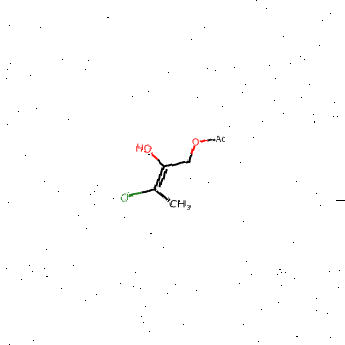 CC(=O)OC/C(O)=C(\C)Cl